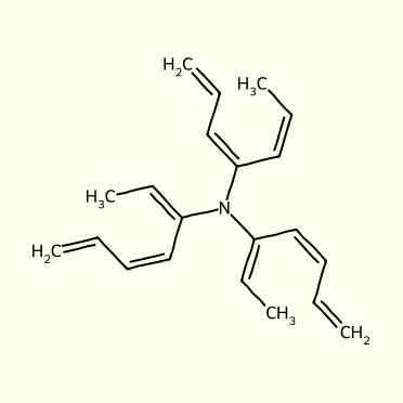 C=C/C=C\C(=C/C)N(C(/C=C\C=C)=C/C)C(/C=C\C)=C/C=C